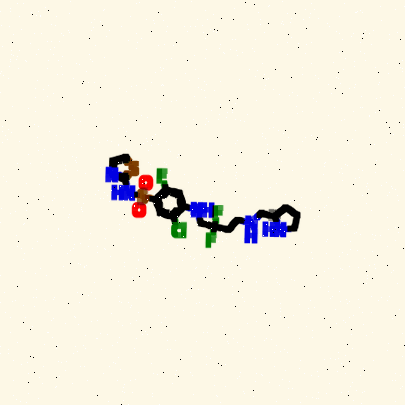 O=S(=O)(Nc1nccs1)c1cc(Cl)c(NCC(F)(F)CCNC[C@H]2CCCN2)cc1F